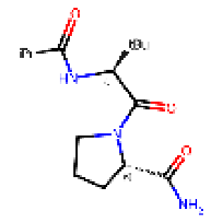 CC(C)C(=O)N[C@H](C(=O)N1CCC[C@H]1C(N)=O)C(C)(C)C